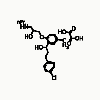 CCCNCC(O)COc1ccc(C)cc1C(O)CCc1ccc(Cl)cc1.O=C(O)C(=O)O